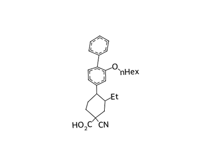 CCCCCCOc1cc(C2CCC(C#N)(C(=O)O)CC2CC)ccc1-c1ccccc1